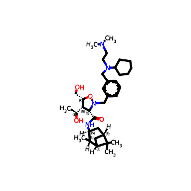 C[C@@H]1[C@@H](NC(=O)[C@@H]2[C@H]([C@H](C)O)[C@H](CO)ON2Cc2cccc(CN(CCN(C)C)C3CCCCC3)c2)C[C@H]2C[C@@H]1C2(C)C